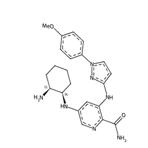 COc1ccc(-n2ccc(Nc3cc(N[C@@H]4CCCC[C@@H]4N)cnc3C(N)=O)n2)cc1